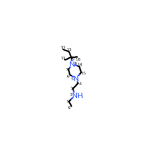 CCNCCN1CCN(C(C)(C)CC)CC1